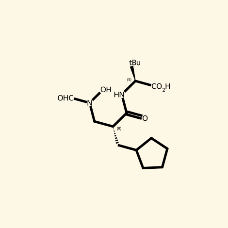 CC(C)(C)[C@H](NC(=O)[C@H](CC1CCCC1)CN(O)C=O)C(=O)O